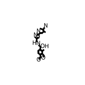 Cc1cc(-n2cc(CNC[C@H](O)c3ccc4c(c3C)COC4=O)cn2)ncc1C#N